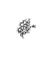 C=C(C#N)CN(C(=O)OC(C)(C)C)c1c(OC)ccc2ccc(-c3ccnc(C(=O)OC)n3)cc12